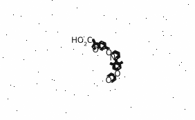 Cc1cc(OC2CCOCC2)cc(C)c1-c1cccc(OCc2ccc3c(c2)OCC3CC(=O)O)n1